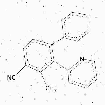 Cc1c(C#N)ccc(-c2ccccc2)c1-c1ccccn1